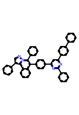 c1ccc(-c2ccc(-c3cc(-c4ccc(-c5c(-c6ccccc6)n6ncc(-c7ccccc7)c6c6ccccc56)cc4)nc(-c4ccccc4)n3)cc2)cc1